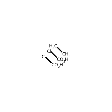 CC.O=C(O)Cl.O=C(O)Cl